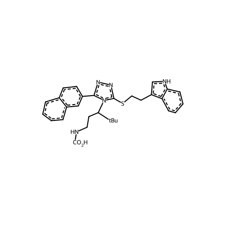 CC(C)(C)C(CCNC(=O)O)n1c(SCCc2c[nH]c3ccccc23)nnc1-c1ccc2ccccc2c1